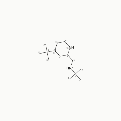 CC(C)(C)NCC1CN(C(C)(C)C)CCN1